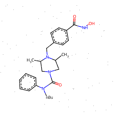 CCCCN(C(=O)N1CC(C)N(Cc2ccc(C(=O)NO)cc2)C(C)C1)c1ccccc1